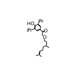 CC(C)=CCCC(C)CCOCC(=O)c1cc(C(C)C)c(O)c(C(C)C)c1